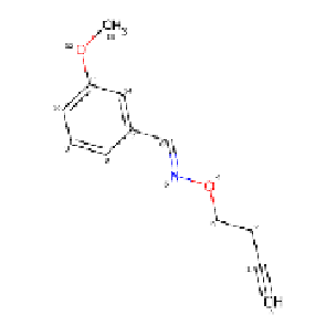 C#CCCON=[C]c1cccc(OC)c1